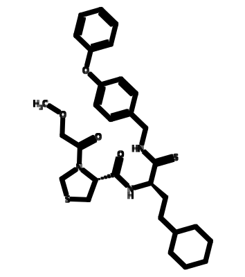 COCC(=O)N1CSC[C@H]1C(=O)N[C@H](CCC1CCCCC1)C(=S)NCc1ccc(Oc2ccccc2)cc1